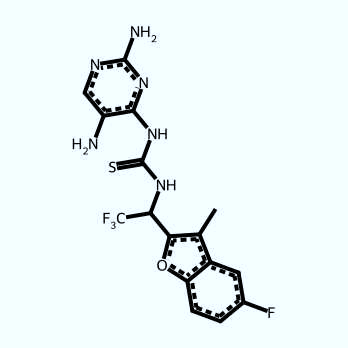 Cc1c(C(NC(=S)Nc2nc(N)ncc2N)C(F)(F)F)oc2ccc(F)cc12